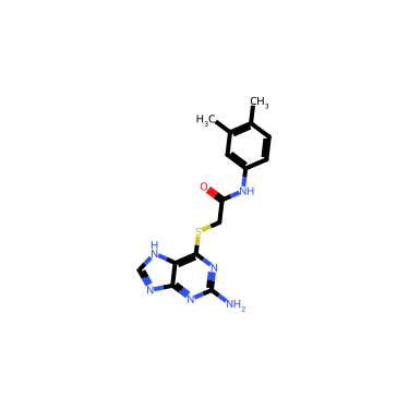 Cc1ccc(NC(=O)CSc2nc(N)nc3nc[nH]c23)cc1C